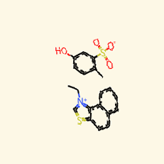 CC[n+]1csc2ccc3ccccc3c21.Cc1ccc(O)cc1S(=O)(=O)[O-]